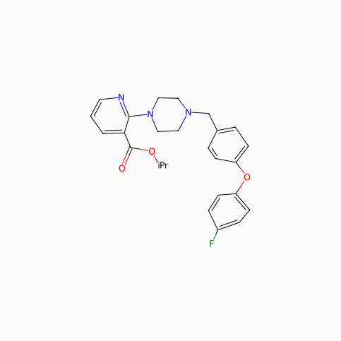 CC(C)OC(=O)c1cccnc1N1CCN(Cc2ccc(Oc3ccc(F)cc3)cc2)CC1